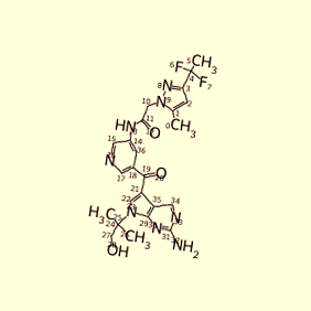 Cc1cc(C(C)(F)F)nn1CC(=O)Nc1cncc(C(=O)c2cn(C(C)(C)CO)c3nc(N)ncc23)c1